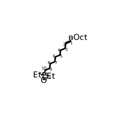 CCCCCCCCC=CCCCCCCCCP(=O)(CC)CC